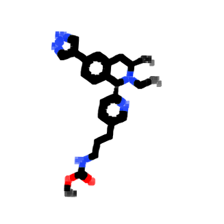 C[C@@H]1Cc2cc(-c3cn[nH]c3)ccc2[C@@H](c2ccc(CCCNC(=O)OC(C)(C)C)cn2)N1CC(F)(F)F